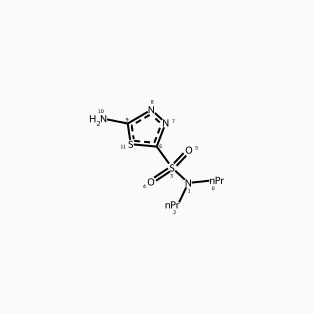 CCCN(CCC)S(=O)(=O)c1nnc(N)s1